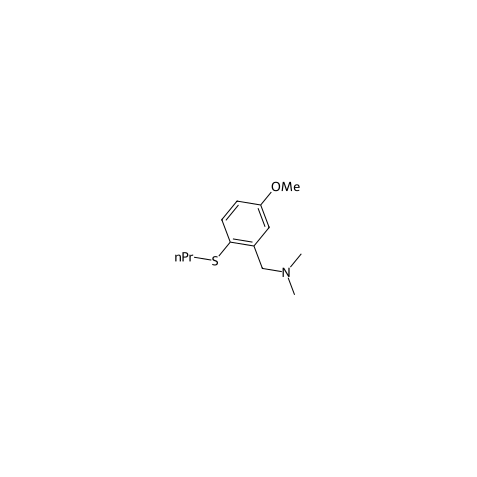 CCCSc1ccc(OC)cc1CN(C)C